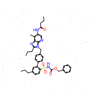 CCCC(=O)Nc1cnc2c(nc(CCC)n2Cc2ccc(-c3cc(CCC)ccc3S(=O)(=O)NC(=O)OCc3ccccc3)cc2)c1C